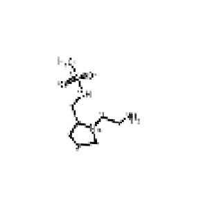 CS(=O)(=O)NC[C@@H]1CCCN1CCN